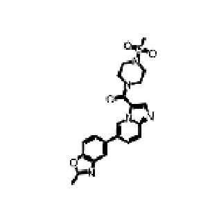 Cc1nc2cc(-c3ccc4ncc(C(=O)N5CCN(S(C)(=O)=O)CC5)n4c3)ccc2o1